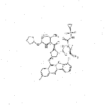 C=C[C@@H]1C[C@]1(NC(=O)[C@@H]1C[C@@H](Oc2c3ccc(F)cc3nc3c2oc2c(Cl)cccc23)CN1C(=O)[C@@H](NC(=O)OC1CCCC1)C(C)C)C(=O)NS(=O)(=O)C1CC1